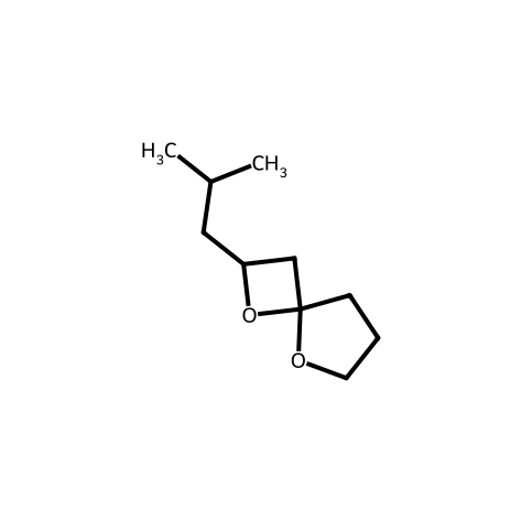 CC(C)CC1CC2(CCCO2)O1